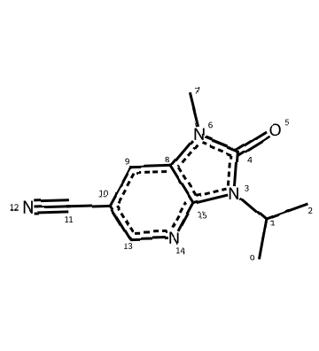 CC(C)n1c(=O)n(C)c2cc(C#N)cnc21